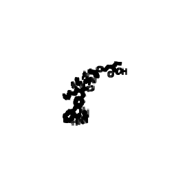 CCCCc1nc(C)n(-c2ncc(OCCC(CC)C(=O)O)cn2)c(=O)c1Cc1ccc(-c2ccccc2-c2nnn[nH]2)cc1